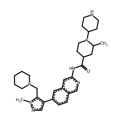 CC1CC(C(=O)Nc2cc3cc(-c4cnn(C)c4CN4CCCCC4)ccc3cn2)CCN1C1CCNCC1